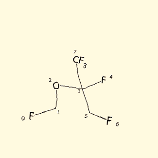 FCOC(F)(CF)C(F)(F)F